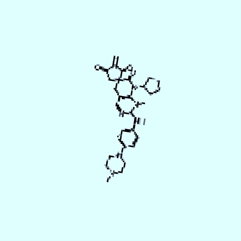 CN1CCN(c2ccc(NC3N=CC4=C(N3C)N(C3CCCC3)C(=O)C3(CC(=O)NC3=O)C4)cn2)CC1